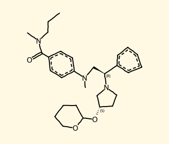 CCCN(C)C(=O)c1ccc(N(C)C[C@@H](c2ccccc2)N2CC[C@H](OC3CCCCO3)C2)cc1